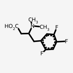 CN(C)C(CC(=O)O)Cc1cc(F)c(F)cc1F